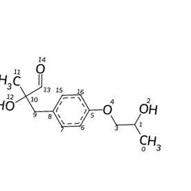 CC(O)COc1ccc(CC(C)(O)C=O)cc1